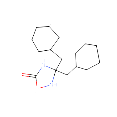 O=C1NC(CC2CCCCC2)(CC2CCCCC2)NO1